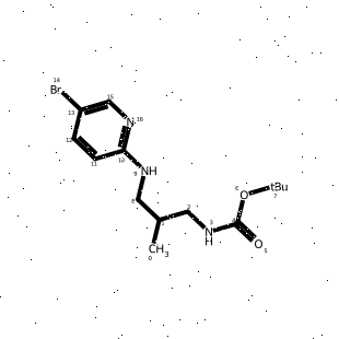 CC(CNC(=O)OC(C)(C)C)CNc1ccc(Br)cn1